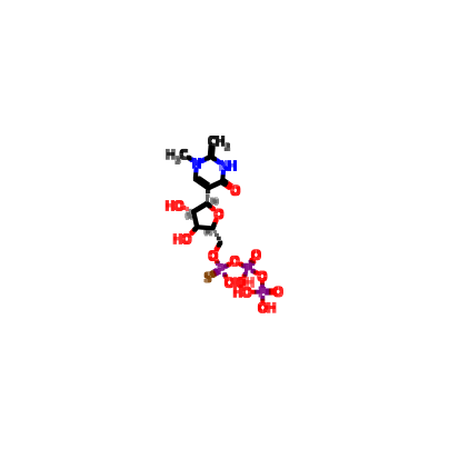 C=C1NC(=O)C([C@@H]2O[C@H](COP(O)(=S)OP(=O)(O)OP(=O)(O)O)C(O)[C@@H]2O)=CN1C